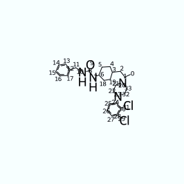 CC(CC1CCC(NC(=O)NCc2ccccc2)CC1)N1CCN(c2cccc(Cl)c2Cl)CC1